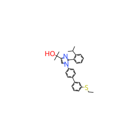 CCSc1cccc(-c2ccc(-n3cc(C(C)(C)O)nc3-c3ccccc3C(C)C)cc2)c1